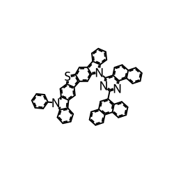 c1ccc(-n2c3ccccc3c3cc4c(cc32)sc2cc3c5ccccc5n(-c5nc(-c6cc7ccccc7c7ccccc67)nc6c5ccc5ccccc56)c3cc24)cc1